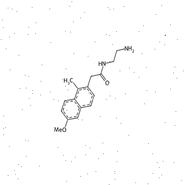 COc1ccc2c(C)c(CC(=O)NCCN)ccc2c1